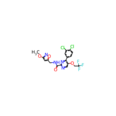 COc1cc(CNC(=O)c2ncc(OCC(F)(F)F)c(-c3ccc(Cl)c(Cl)c3)n2)on1